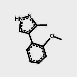 COc1ccccc1-c1c[nH]nc1C